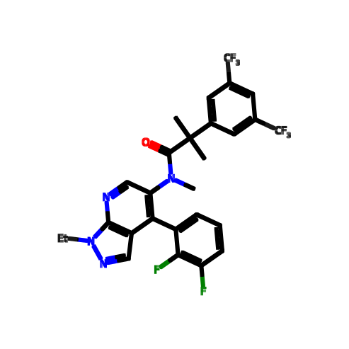 CCn1ncc2c(-c3cccc(F)c3F)c(N(C)C(=O)C(C)(C)c3cc(C(F)(F)F)cc(C(F)(F)F)c3)cnc21